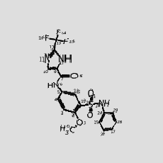 COc1ccc(NC(=O)c2cnc(C(F)(F)F)[nH]2)cc1S(=O)(=O)Nc1ccccc1